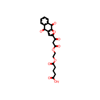 O=C(O)CCCC(=O)OCCOC(=O)CC(=O)c1cc2c(o1)C(=O)c1ccccc1C2=O